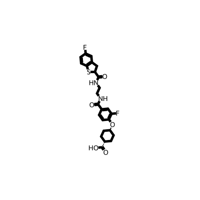 O=C(NCCNC(=O)C1Cc2cc(F)ccc2S1)c1ccc(O[C@H]2CC[C@@H](C(=O)O)CC2)c(F)c1